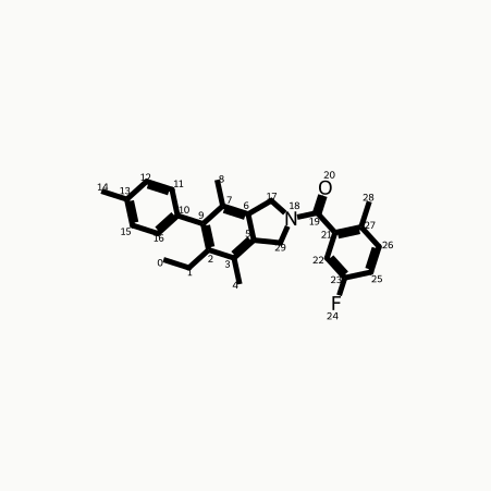 CCc1c(C)c2c(c(C)c1-c1ccc(C)cc1)CN(C(=O)c1cc(F)ccc1C)C2